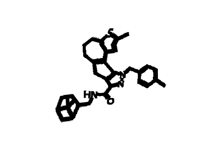 Cc1ccc(Cn2nc(C(=O)NCC3CCC4CC3C4(C)C)c3c2C2=C(CCCc4sc(C)cc42)C3)cc1